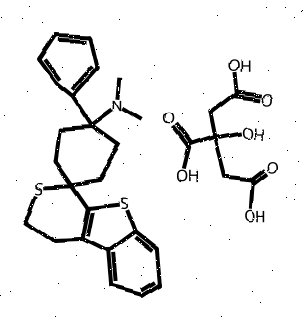 CN(C)C1(c2ccccc2)CCC2(CC1)SCCc1c2sc2ccccc12.O=C(O)CC(O)(CC(=O)O)C(=O)O